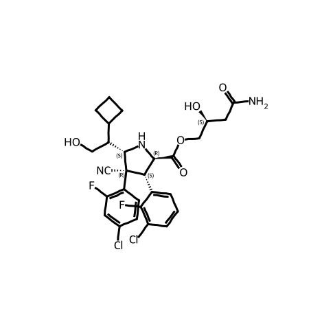 N#C[C@]1(c2ccc(Cl)cc2F)[C@H](C(CO)C2CCC2)N[C@@H](C(=O)OC[C@@H](O)CC(N)=O)[C@@H]1c1cccc(Cl)c1F